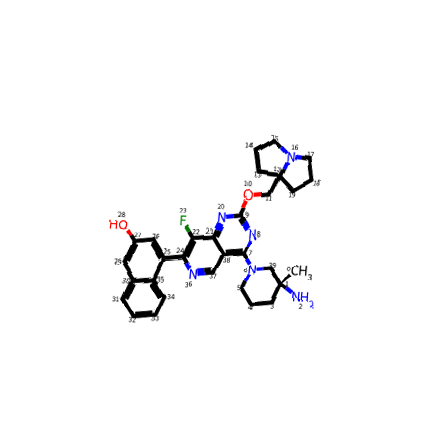 C[C@@]1(N)CCCN(c2nc(OCC34CCCN3CCC4)nc3c(F)c(-c4cc(O)cc5ccccc45)ncc23)C1